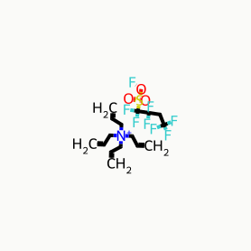 C=CC[N+](CC=C)(CC=C)CC=C.O=S(=O)(OF)C(F)(F)C(F)(F)CC(F)(F)F